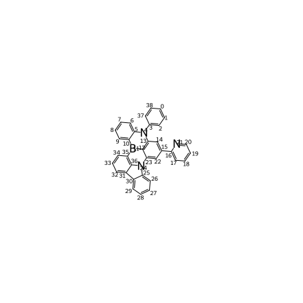 c1ccc(N2c3ccccc3B3c4c2cc(-c2ccccn2)cc4-n2c4ccccc4c4cccc3c42)cc1